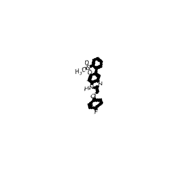 CS(=O)(=O)c1ccccc1-c1ccc2[nH]c(COc3ccc(F)cc3)nc2c1